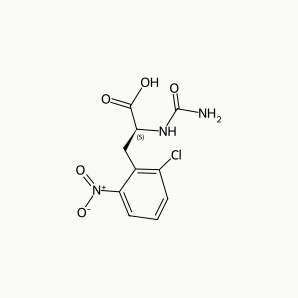 NC(=O)N[C@@H](Cc1c(Cl)cccc1[N+](=O)[O-])C(=O)O